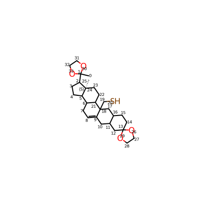 CC1(C2CCC3C4CC=C5CC6CC7(CCC6CC5(CS)C4CC[C@@]32C)OCCO7)OCCO1